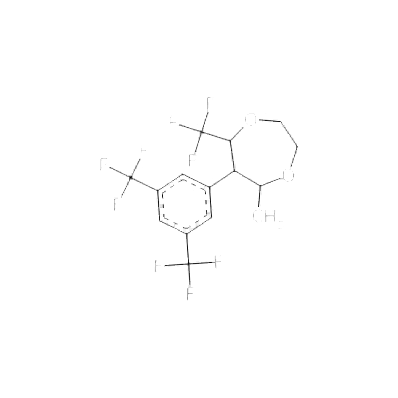 CC1OCCOC(C(F)(F)F)C1c1cc(C(F)(F)F)cc(C(F)(F)F)c1